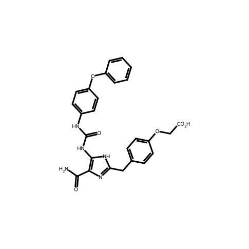 NC(=O)c1nc(Cc2ccc(OCC(=O)O)cc2)[nH]c1NC(=O)Nc1ccc(Oc2ccccc2)cc1